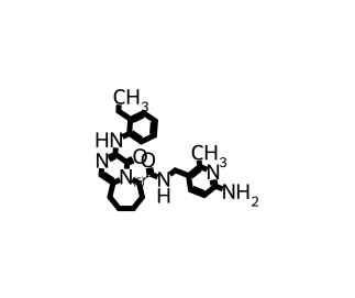 CCc1ccccc1Nc1ncc2n(c1=O)[C@H](C(=O)NCc1ccc(N)nc1C)CCCC2